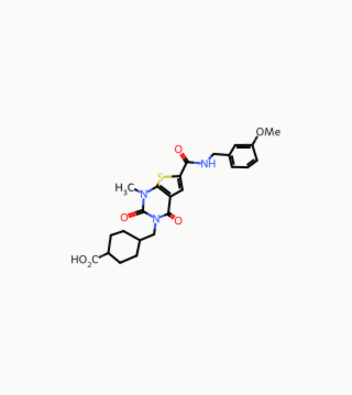 COc1cccc(CNC(=O)c2cc3c(=O)n(CC4CCC(C(=O)O)CC4)c(=O)n(C)c3s2)c1